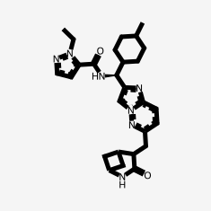 CCn1nccc1C(=O)N[C@H](c1cn2nc(CC3C(=O)NC4CC3C4)ccc2n1)C1CCC(C)CC1